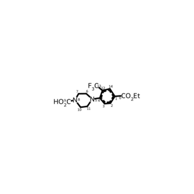 CCOC(=O)c1ccc(N2CCN(C(=O)O)CC2)c(C(F)(F)F)c1